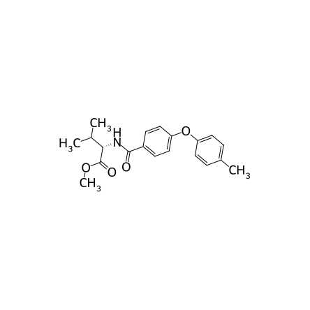 COC(=O)[C@@H](NC(=O)c1ccc(Oc2ccc(C)cc2)cc1)C(C)C